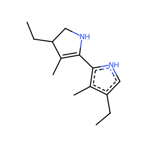 CCc1c[nH]c(C2=C(C)C(CC)CN2)c1C